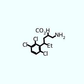 CCC(CC(CN)C(=O)O)c1c(Cl)ccc(Cl)c1Cl